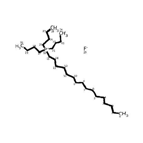 CCCCCCCCCCCCCCCC[P+](CCCC)(CCCC)CCCC.[F-]